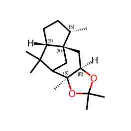 C[C@H]1CC[C@H]2C(C)(C)C3C[C@@]12C[C@H]1OC(C)(C)O[C@@]31C